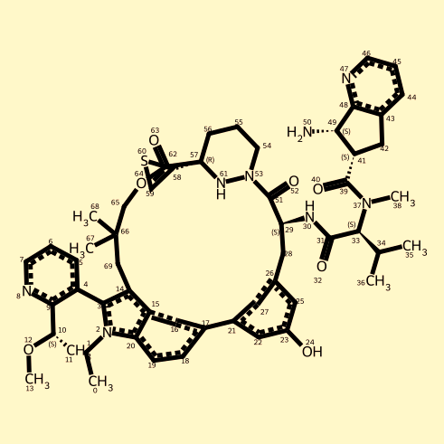 CCn1c(-c2cccnc2[C@H](C)OC)c2c3cc(ccc31)-c1cc(O)cc(c1)C[C@H](NC(=O)[C@H](C(C)C)N(C)C(=O)[C@H]1Cc3cccnc3[C@H]1N)C(=O)N1CCC[C@@](C3=CS3)(N1)C(=O)OCC(C)(C)C2